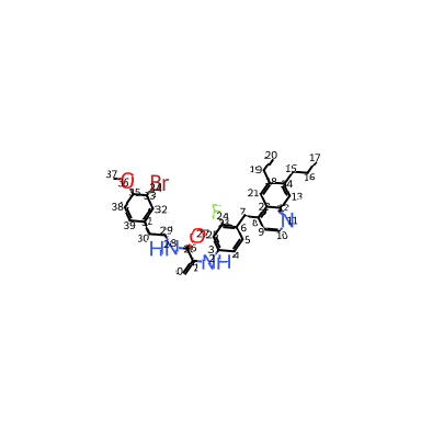 C=C(Nc1ccc(Cc2ccnc3cc(CCC)c(CC)cc23)c(F)c1)C(=O)NCCC1=CC(Br)C(OC)C=C1